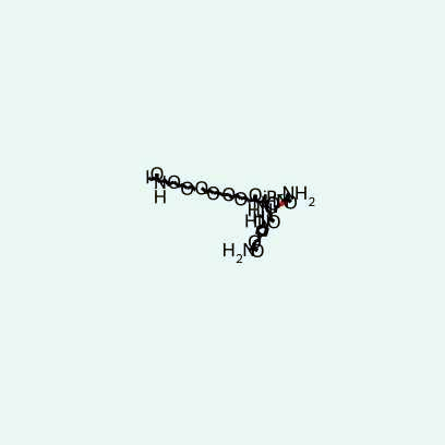 CC(C)[C@H](NC(=O)CCOCCOCCOCCOCCOCCOCCNC(=O)CI)C(=O)N[C@@H](CCCNC(N)=O)C(=O)Nc1ccc(COC(N)=O)cc1